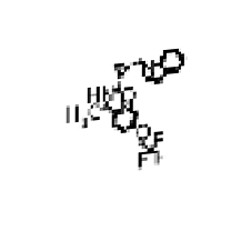 CC(NC(=O)[C@@H]1C[C@H]1Cn1ccc2ccccc21)c1ccc(OCC(F)(F)F)cn1